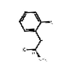 C[C@@H](O)[CH]c1ccccc1Cl